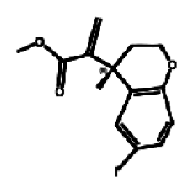 C=C(C(=O)OC)[C@]1(C)CCOc2ccc(I)cc21